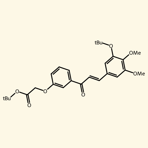 COc1cc(/C=C/C(=O)c2cccc(OCC(=O)OC(C)(C)C)c2)cc(OC(C)(C)C)c1OC